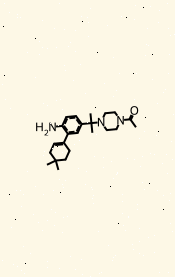 CC(=O)N1CCN(C(C)(C)c2ccc(N)c(C3=CCC(C)(C)CC3)c2)CC1